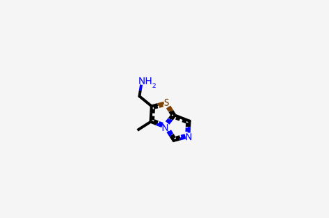 Cc1c(CN)sc2cncn12